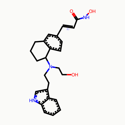 O=C(/C=C/c1ccc2c(c1)CCCC2N(CCO)CCc1c[nH]c2ccccc12)NO